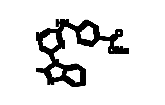 COC(=O)c1ccc(Nc2cncc(-n3c(C)nc4ccccc43)n2)cc1